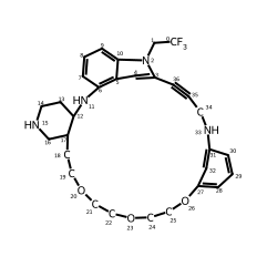 FC(F)(F)Cn1c2cc3c(cccc31)NC1CCNCC1CCOCCOCCOc1cccc(c1)NCC#C2